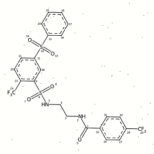 O=C(NCCNS(=O)(=O)c1cc(S(=O)(=O)c2ccccc2)ccc1C(F)(F)F)c1ccc(C(F)(F)F)cc1